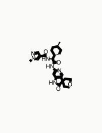 Cn1cc(C(=O)N[C@H](C(=O)Nc2cc3c(cn2)C2(CCOCC2)C(=O)N3)[C@H]2CC[C@H](C)CC2)cn1